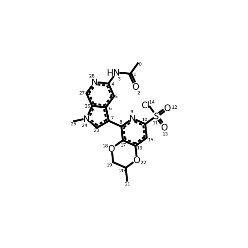 CC(=O)Nc1cc2c(-c3nc(S(=O)(=O)Cl)cc4c3OCC(C)O4)cn(C)c2cn1